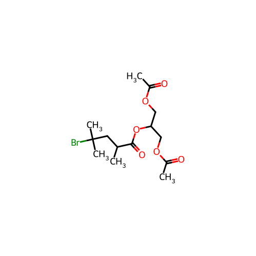 CC(=O)OCC(COC(C)=O)OC(=O)C(C)CC(C)(C)Br